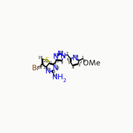 COCc1cccc(Cn2cc(-c3nc(N)nc4c(Br)csc34)nn2)n1